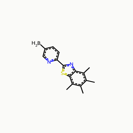 Bc1ccc(-c2nc3c(C)c(C)c(C)c(C)c3s2)nc1